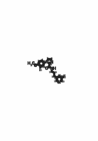 COc1ccc(-n2ccnc2C(=O)NCCCc2cncc(F)c2)cc1I